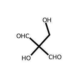 O=CC(O)(C=O)CO